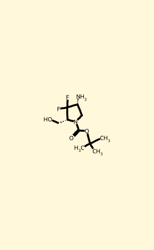 CC(C)(C)OC(=O)N1C[C@@H](N)C(F)(F)[C@H]1CO